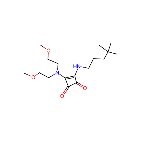 COCCN(CCOC)c1c(NCCCC(C)(C)C)c(=O)c1=O